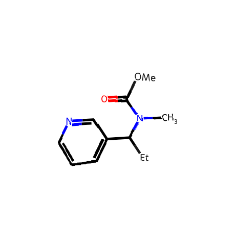 CCC(c1cccnc1)N(C)C(=O)OC